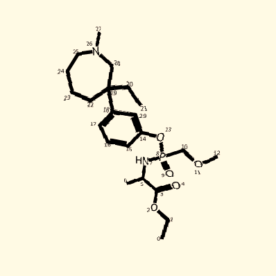 CCOC(=O)C(C)NP(=O)(COC)Oc1cccc(C2(CC)CCCCN(C)C2)c1